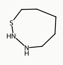 C1CCNNSCC1